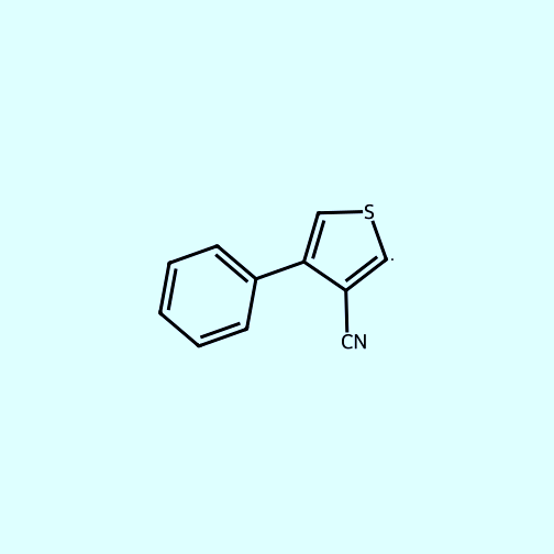 N#Cc1[c]scc1-c1ccccc1